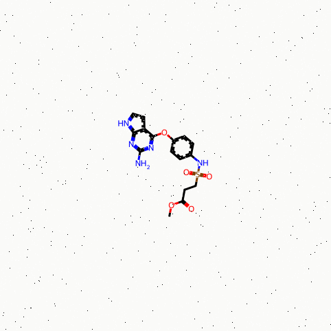 COC(=O)CCS(=O)(=O)Nc1ccc(Oc2nc(N)nc3[nH]ccc23)cc1